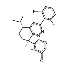 CC(C)[C@H]1CC[C@](C)(c2cncc(=O)[nH]2)c2nnc(-c3c(F)cccc3F)cc21